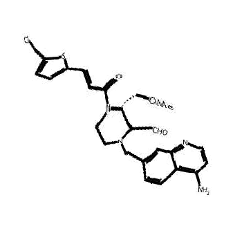 COC[C@@H]1C(C=O)N(Cc2ccc3c(N)ccnc3c2)CCN1C(=O)C=Cc1ccc(Cl)s1